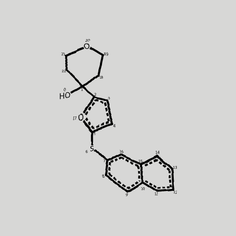 OC1(c2ccc(Sc3ccc4ccccc4c3)o2)CCOCC1